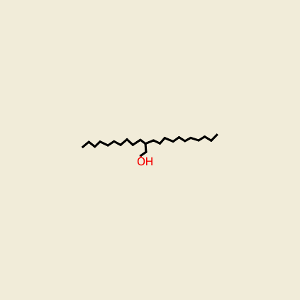 CCCCCCCCCCCC(CCO)CCCCCCCCCC